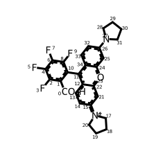 O=C(O)c1c(F)c(F)c(F)c(F)c1-c1c2ccc(=[N+]3CCCC3)cc-2oc2cc(N3CCCC3)ccc12